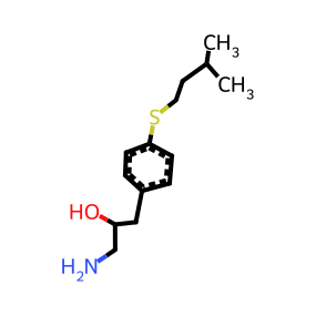 CC(C)CCSc1ccc(CC(O)CN)cc1